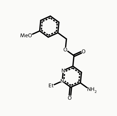 CCn1nc(C(=O)OCc2cccc(OC)c2)cc(N)c1=O